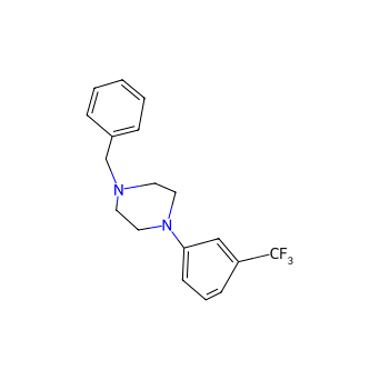 FC(F)(F)c1cccc(N2CCN(Cc3ccccc3)CC2)c1